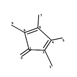 C=C1C(C)=C(C)C(C)=C1C